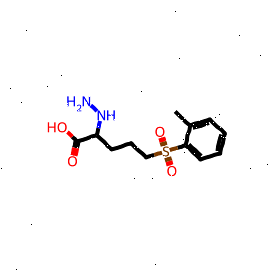 Cc1ccccc1S(=O)(=O)CCCC(NN)C(=O)O